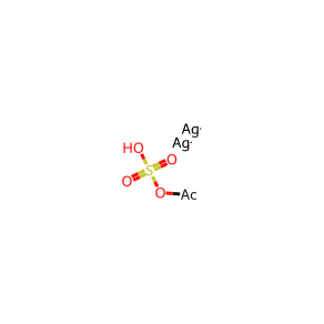 CC(=O)OS(=O)(=O)O.[Ag].[Ag]